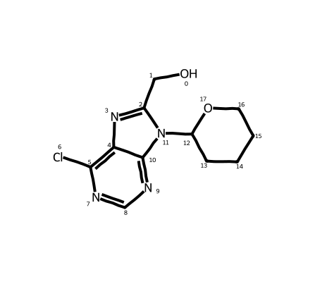 OCc1nc2c(Cl)ncnc2n1C1CCCCO1